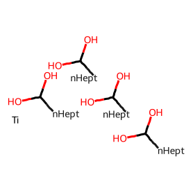 CCCCCCCC(O)O.CCCCCCCC(O)O.CCCCCCCC(O)O.CCCCCCCC(O)O.[Ti]